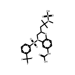 CN(C(C)(C)CC1CN(S(=O)(=O)c2cccc(C(F)(F)F)c2)c2cc(NC(=O)O)ccc2O1)S(=O)(=O)O